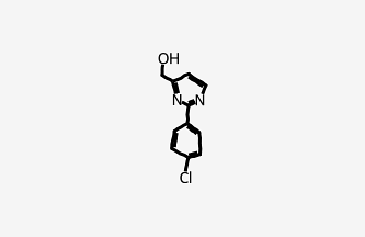 OCc1ccnc(-c2ccc(Cl)cc2)n1